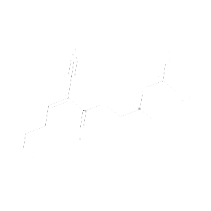 CCCC=C(C#N)C(=O)OCC(C)OC(C)C